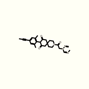 C=NN(/C=N\C)CC(=O)N1CCC2(CC1)CC(=O)C(c1c(C)cc(C#CC)cc1C)C(=O)C2